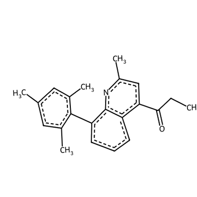 CCC(=O)c1cc(C)nc2c(-c3c(C)cc(C)cc3C)cccc12